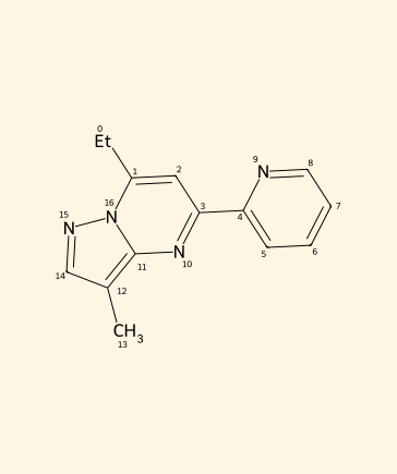 CCc1cc(-c2ccccn2)nc2c(C)cnn12